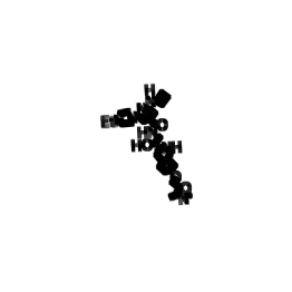 CCN1CCN(c2cc(C(=O)NCC(O)[C@@H]3Cc4ccc(OCc5ocnc5C)cc4CN3)cc(NC3CCC3)n2)CC1